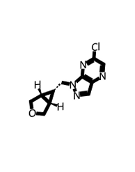 Clc1cnc2cnn(C[C@@H]3[C@@H]4COC[C@@H]43)c2n1